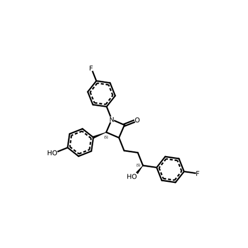 O=C1C(CC[C@H](O)c2ccc(F)cc2)[C@@H](c2ccc(O)cc2)N1c1ccc(F)cc1